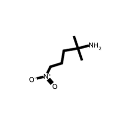 CC(C)(N)CCC[N+](=O)[O-]